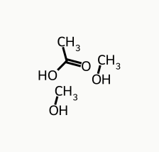 CC(=O)O.CO.CO